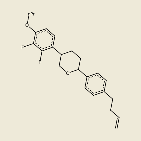 C=CCCc1ccc(C2CCC(c3ccc(OCCC)c(F)c3F)CO2)cc1